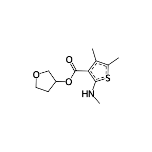 CNc1sc(C)c(C)c1C(=O)OC1CCOC1